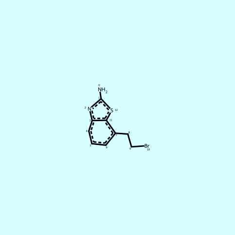 Nc1nc2cccc(CCBr)c2s1